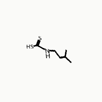 CC(C)CCNC(=S)S